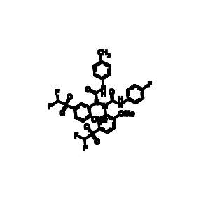 COc1ccc(S(=O)(=O)C(F)F)cc1N(C(=O)Nc1ccc(C)cc1)N(C(=O)Nc1ccc(F)cc1)c1cc(S(=O)(=O)C(F)F)ccc1OC